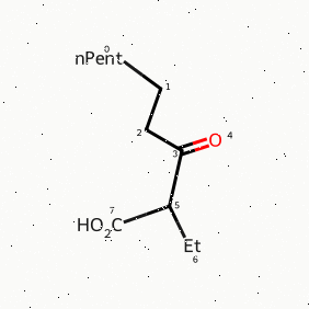 CCCCCCCC(=O)C(CC)C(=O)O